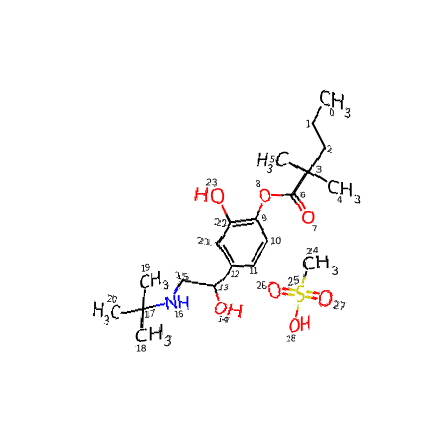 CCCC(C)(C)C(=O)Oc1ccc(C(O)CNC(C)(C)C)cc1O.CS(=O)(=O)O